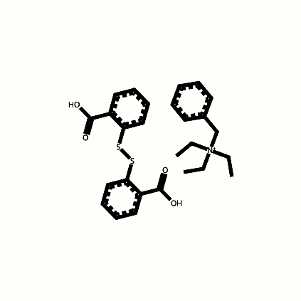 CC[N+](CC)(CC)Cc1ccccc1.O=C(O)c1ccccc1SSc1ccccc1C(=O)O